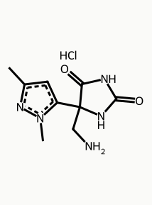 Cc1cc(C2(CN)NC(=O)NC2=O)n(C)n1.Cl